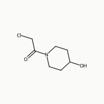 O=C(CCl)N1CCC(O)CC1